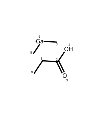 CCC(=O)O.[CH3][Ga][CH3]